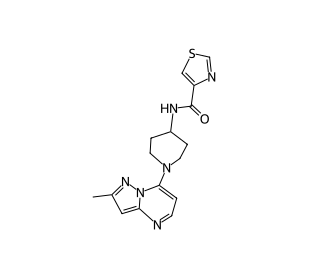 Cc1cc2nccc(N3CCC(NC(=O)c4cscn4)CC3)n2n1